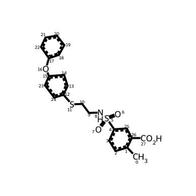 Cc1ccc(S(=O)(=O)NCCSc2ccc(Oc3ccccc3)cc2)cc1C(=O)O